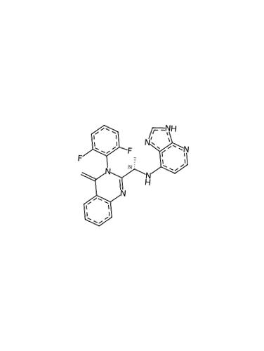 C=C1c2ccccc2N=C([C@H](C)Nc2ccnc3[nH]cnc23)N1c1c(F)cccc1F